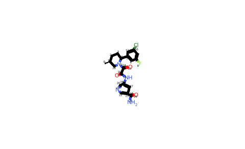 C[C@H]1CCC(c2cc(F)cc(Cl)c2)N(C(=O)C(=O)Nc2cncc(C(N)=O)c2)C1